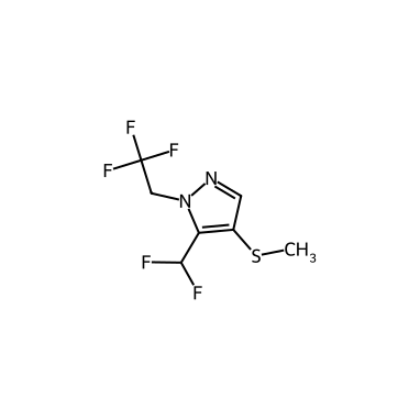 CSc1cnn(CC(F)(F)F)c1C(F)F